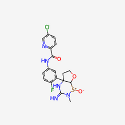 CN1C(=N)NC2(c3cc(NC(=O)c4ccc(Cl)cn4)ccc3F)CCOC2[S+]1[O-]